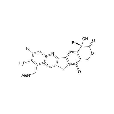 CC[C@@]1(O)C(=O)OCc2c1cc1n(c2=O)Cc2cc3c(CNC)c(P)c(F)cc3nc2-1